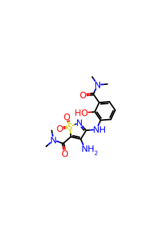 CN(C)C(=O)C1=C(N)C(Nc2cccc(C(=O)N(C)C)c2O)=NS1(=O)=O